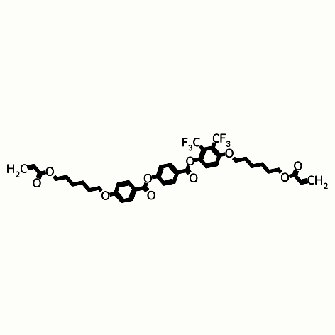 C=CC(=O)OCCCCCCOc1ccc(C(=O)Oc2ccc(C(=O)Oc3ccc(OCCCCCCOC(=O)C=C)c(C(F)(F)F)c3C(F)(F)F)cc2)cc1